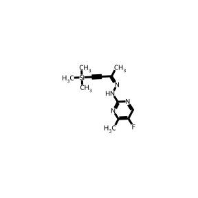 CC(C#C[Si](C)(C)C)=NNc1ncc(F)c(C)n1